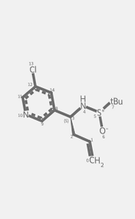 C=CC[C@H](N[S+]([O-])C(C)(C)C)c1cncc(Cl)c1